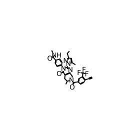 C#Cc1ccc(C(=O)N2Cc3nc(-n4nc(CC)cc4C)n(-c4ccc(C(=O)NC)cc4)c(=O)c3CC2C)cc1C(F)(F)F